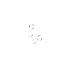 COc1ccc(Nc2c(-c3nc(C(C)(C)C)cs3)c(C)nn2-c2ccccc2Cl)c(C(=O)O)c1